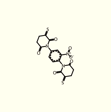 O=C1CCC(=S)C(=O)N1c1ccc(N2C(=O)CCC(=S)C2=O)c([N+](=O)[O-])c1